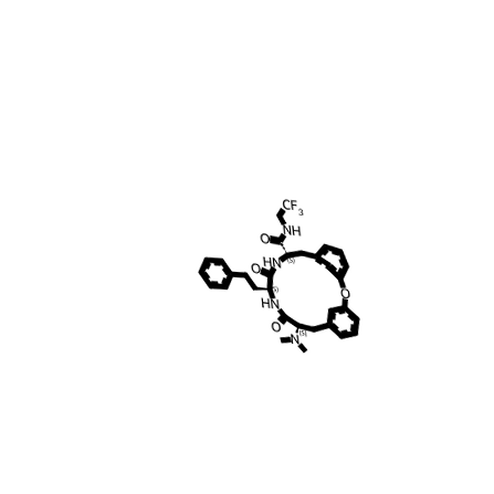 CN(C)[C@H]1Cc2cccc(c2)Oc2cccc(c2)C[C@@H](C(=O)NCC(F)(F)F)NC(=O)[C@H](CCc2ccccc2)NC1=O